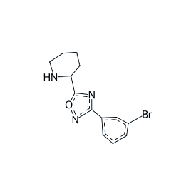 Brc1cccc(-c2noc(C3CCCCN3)n2)c1